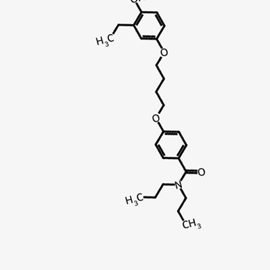 CCCN(CCC)C(=O)c1ccc(OCCCCOc2ccc(O)c(CC)c2)cc1